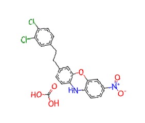 O=C(O)O.O=[N+]([O-])c1ccc2c(c1)Oc1cc(CCc3ccc(Cl)c(Cl)c3)ccc1N2